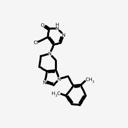 Cc1cccc(C)c1Cn1cnc2c1CN(c1cn[nH]c(=O)c1Cl)CC2